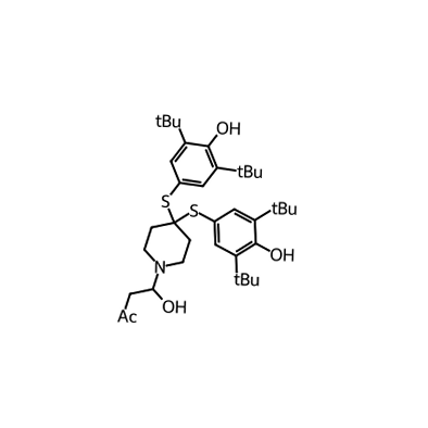 CC(=O)CC(O)N1CCC(Sc2cc(C(C)(C)C)c(O)c(C(C)(C)C)c2)(Sc2cc(C(C)(C)C)c(O)c(C(C)(C)C)c2)CC1